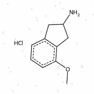 COc1cccc2c1CC(N)C2.Cl